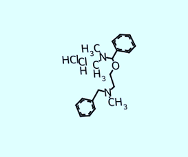 CN(CCOC(c1ccccc1)N(C)C)Cc1ccccc1.Cl.Cl